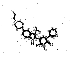 CCCN1CCC(c2ccc3[nH]c(-c4cc(-c5cccnc5)c(=O)n(C)c4F)c(C(C)C)c3c2)CC1